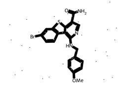 COc1ccc(CNc2ncc(C(N)=O)c3sc4cc(Br)ccc4c23)cc1